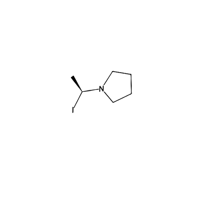 C[C@H](I)N1CCCC1